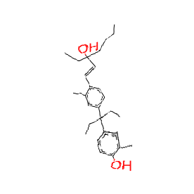 CCCCC(O)(C=Cc1ccc(C(CC)(CC)c2ccc(O)c(C)c2)cc1C)CC